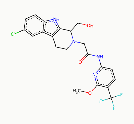 COc1nc(NC(=O)CN2CCc3c([nH]c4ccc(Cl)cc34)C2CO)ccc1C(F)(F)F